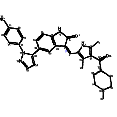 Cc1[nH]c(/C=C2\C(=O)Nc3ccc(-c4ccnn4-c4ccc(C#N)cc4)cc32)c(C)c1C(=O)N1CCN(C)CC1